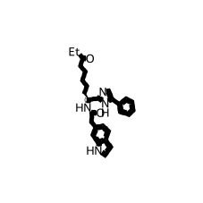 CCC(=O)CCCCC[C@H](NC(=O)Cc1ccc2cc[nH]c2c1)c1ncc(-c2ccccc2)[nH]1